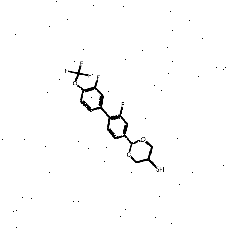 Fc1cc(-c2ccc(C3OCC(S)CO3)cc2F)ccc1OC(F)(F)F